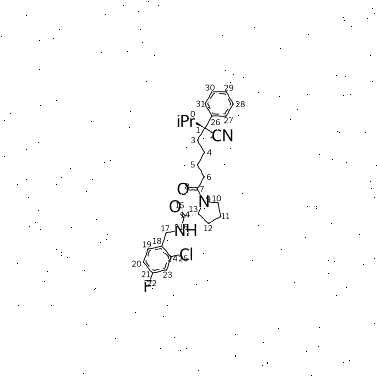 CC(C)[C@@](C#N)(CCCCC(=O)N1CCC[C@@H]1C(=O)NCc1ccc(F)cc1Cl)c1ccccc1